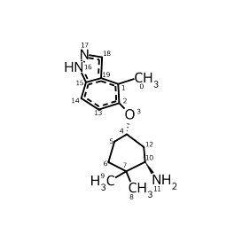 Cc1c(O[C@H]2CCC(C)(C)[C@H](N)C2)ccc2[nH]ncc12